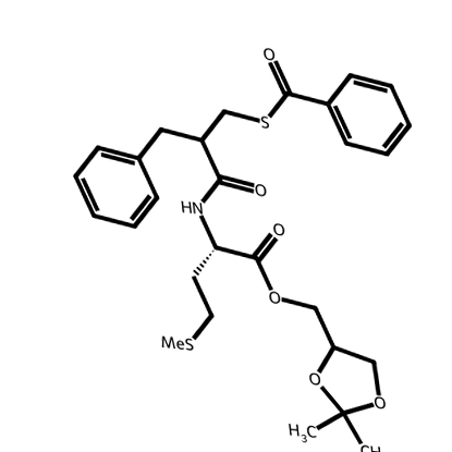 CSCC[C@H](NC(=O)C(CSC(=O)c1ccccc1)Cc1ccccc1)C(=O)OCC1COC(C)(C)O1